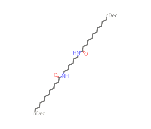 CCCCCCCCCCCCCCCCCCCCC(=O)NCCCCCCNC(=O)CCCCCCCCCCCCCCCCCCCC